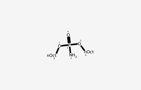 CCCCCCCCOP(N)(=O)OCCCCCCCC